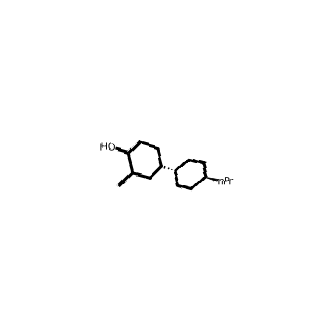 CCC[C@H]1CC[C@H](C2CCC(O)C(C)C2)CC1